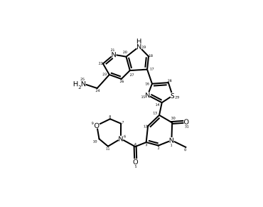 Cn1cc(C(=O)N2CCOCC2)cc(-c2nc(-c3c[nH]c4ncc(CN)cc34)cs2)c1=O